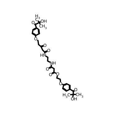 CC(C)(O)C(=O)c1ccc(OCCOC(=O)CC(=O)NCCNC(=O)CC(=O)CCOc2ccc(C(=O)C(C)(C)O)cc2)cc1